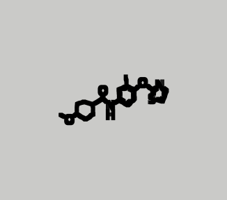 COC1CCC(C(=O)Nc2ccc(Oc3nccs3)c(C)c2)CC1